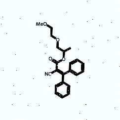 COCCOCC(C)OC(=O)C(C#N)=C(c1ccccc1)c1ccccc1